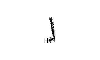 C=C(CCCCCCCCCCCCCCCCCCCCCCC)CCC(C)CNC